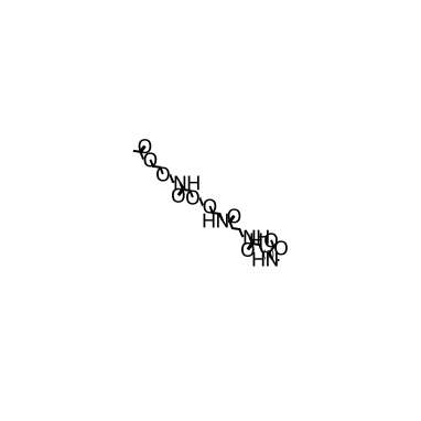 CN[C@@H](CCC(=O)NCCCC(=O)NCCOCCOCC(=O)NCCOCCOCC(C)=O)C(=O)O